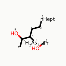 CC(C)O.CCCCCCCCCC([AsH2])C(C)O